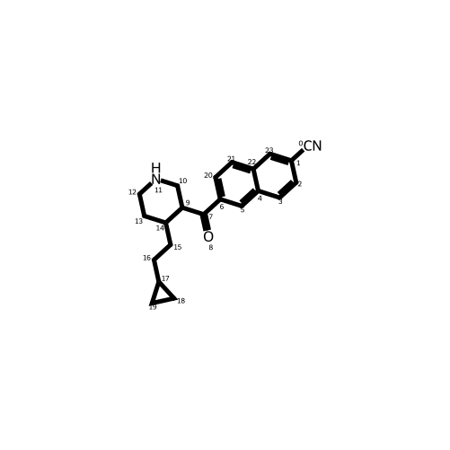 N#Cc1ccc2cc(C(=O)C3CNCCC3CCC3CC3)ccc2c1